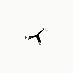 BC(B)=O